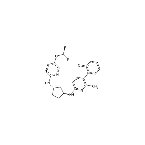 Cc1nc(N[C@H]2CC[C@H](Nc3ncc(OC(F)F)cn3)C2)ccc1-n1ccccc1=O